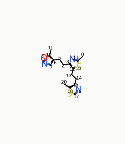 Cc1nc(CCc2cnoc2C)c(CCc2ncsc2C)s1